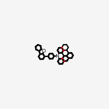 c1ccc(N(c2ccc(-c3cccc4c3oc3ccccc34)cc2)c2ccccc2-c2cccc3cccc(C4CCCCC4)c23)cc1